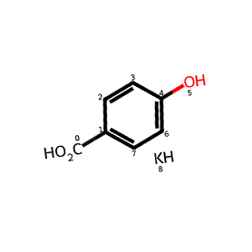 O=C(O)c1ccc(O)cc1.[KH]